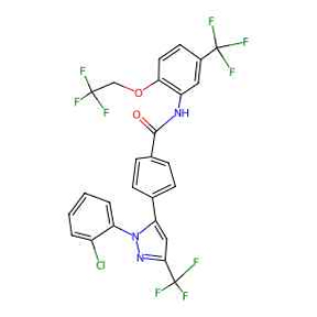 O=C(Nc1cc(C(F)(F)F)ccc1OCC(F)(F)F)c1ccc(-c2cc(C(F)(F)F)nn2-c2ccccc2Cl)cc1